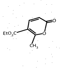 CCOC(=O)c1ccc(=O)oc1C